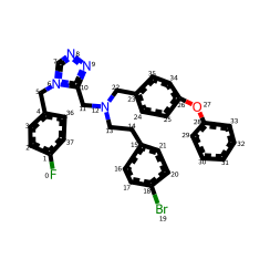 Fc1ccc(Cn2cnnc2CN(CCc2ccc(Br)cc2)Cc2ccc(Oc3ccccc3)cc2)cc1